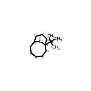 CC(C)(C)C12BC(CCCCC1)CCC2